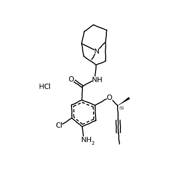 CC#C[C@H](C)Oc1cc(N)c(Cl)cc1C(=O)NC1CC2CCCC(C1)N2C.Cl